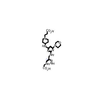 N=N/C(=C\NCC(=O)O)CNc1nc(NC2CCN(CCC(=O)O)CC2)cc(N2CCOCC2)n1